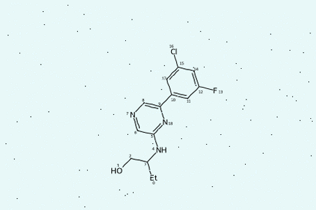 CCC(CO)Nc1cncc(-c2cc(F)cc(Cl)c2)n1